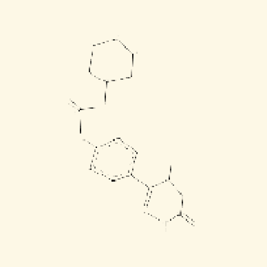 CC1CC(=O)NN=C1c1ccc(NC(=O)SC2CCCCC2)cc1